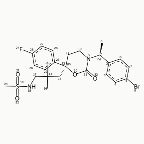 C[C@@H](c1ccc(Br)cc1)N1CC[C@](CC(C)(C)CNS(C)(=O)=O)(c2ccc(F)cc2)OC1=O